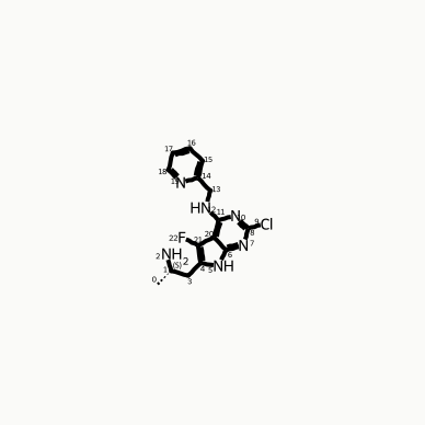 C[C@H](N)Cc1[nH]c2nc(Cl)nc(NCc3ccccn3)c2c1F